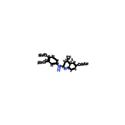 COc1ccc2nc(Nc3ccc(OC)c(OC)c3)cc(C(F)(F)F)c2c1